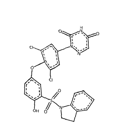 O=c1cnn(-c2cc(Cl)c(Oc3ccc(O)c(S(=O)(=O)N4CCc5ccccc54)c3)c(Cl)c2)c(=O)[nH]1